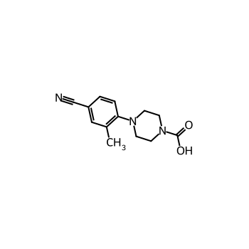 Cc1cc(C#N)ccc1N1CCN(C(=O)O)CC1